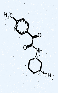 Cc1ccc(C(=O)C(=O)NN2CCC[C@H](C)C2)cn1